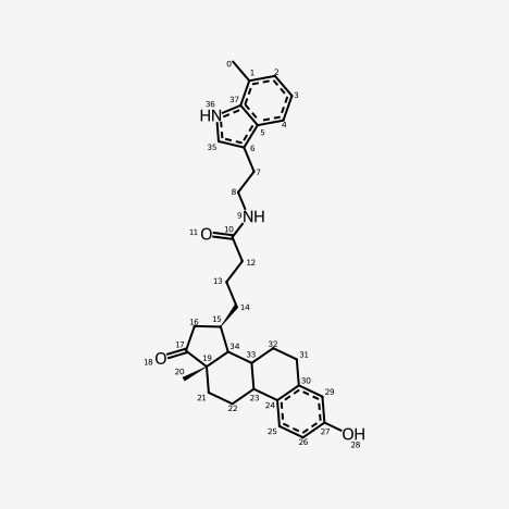 Cc1cccc2c(CCNC(=O)CCC[C@@H]3CC(=O)[C@@]4(C)CCC5c6ccc(O)cc6CCC5C34)c[nH]c12